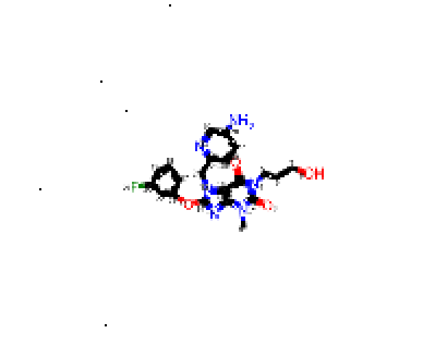 Cn1c(=O)n(CCCO)c(=O)c2c1nc(Oc1cccc(F)c1)n2Cc1ccc(N)cn1